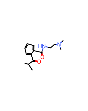 CC(C)C(=O)c1ccccc1C(=O)NCCN(C)C